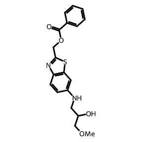 COCC(O)CNc1ccc2nc(COC(=O)c3ccccc3)sc2c1